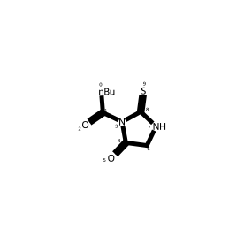 CCCCC(=O)N1C(=O)CNC1=S